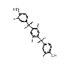 Cc1cc(C(C)(C)c2cc(C)c(C(C)(C)c3ccc(O)c(C)c3)cc2C)ccc1O